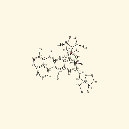 CCc1c(F)ccc2cccc(-c3ncc4c(N5C[C@H]6CC[C@@H](C5)N6C(=O)OC(C)(C)C)nc(OCC56CCCN5CCC6)nc4c3F)c12